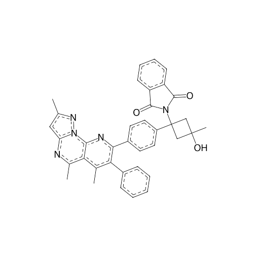 Cc1cc2nc(C)c3c(C)c(-c4ccccc4)c(-c4ccc(C5(N6C(=O)c7ccccc7C6=O)CC(C)(O)C5)cc4)nc3n2n1